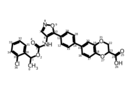 CC(OC(=O)Nc1cnoc1-c1ccc(-c2ccc3c(c2)OCC(C(=O)O)O3)cc1)c1ccccc1Cl